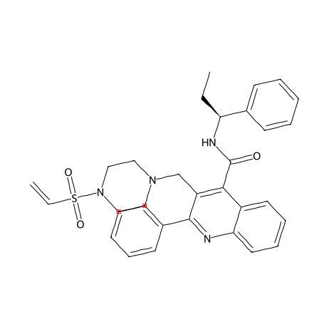 C=CS(=O)(=O)N1CCN(Cc2c(-c3ccccc3)nc3ccccc3c2C(=O)N[C@@H](CC)c2ccccc2)CC1